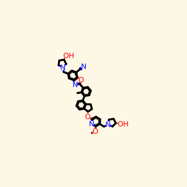 COc1nc(O[C@H]2CCc3c(-c4cccc(-c5nc6cc(CN7CC[C@@H](O)C7)cc(C#N)c6o5)c4C)cccc32)ccc1CN1CC[C@@H](O)C1